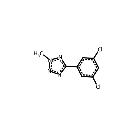 Cn1nnc(-c2cc(Cl)[c]c(Cl)c2)n1